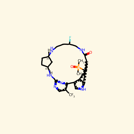 CP(C)(=O)c1c2ccc3c(c[nH]c13)-c1nc(ncc1C(F)(F)F)N[C@H]1CC[C@@H](C1)NCCC(F)CNC2=O